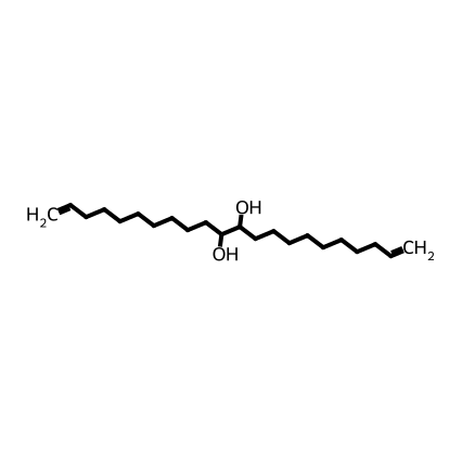 C=CCCCCCCCCC(O)C(O)CCCCCCCCC=C